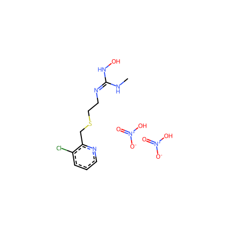 CN/C(=N\CCSCc1ncccc1Cl)NO.O=[N+]([O-])O.O=[N+]([O-])O